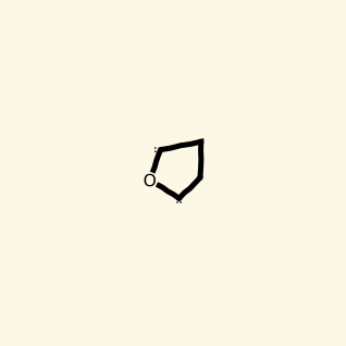 [C]1CC[C]O1